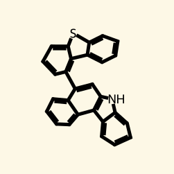 c1ccc2c(c1)[nH]c1cc(-c3cccc4sc5ccccc5c34)c3ccccc3c12